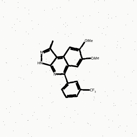 COc1cc2c(-c3cccc(C(F)(F)F)c3)nc3[nH]nc(C)c3c2cc1OC